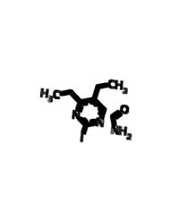 CCc1cnc(I)nc1CC.NC=O